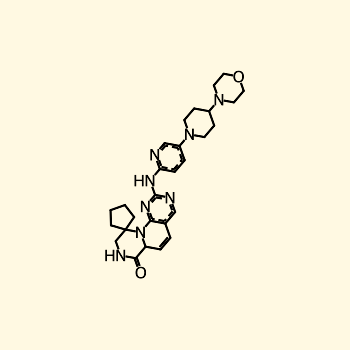 O=C1NCC2(CCCC2)N2c3nc(Nc4ccc(N5CCC(N6CCOCC6)CC5)cn4)ncc3C=CC12